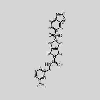 Cc1cccc(CNC(=O)N2CC3=C(C2)CN(S(=O)(=O)c2ccc4ncsc4c2)C3)n1